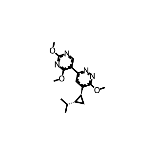 COc1ncc(-c2cc([C@H]3C[C@@H]3C(C)C)c(OC)nn2)c(OC)n1